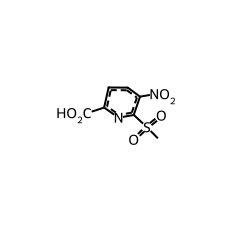 CS(=O)(=O)c1nc(C(=O)O)ccc1[N+](=O)[O-]